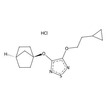 C(CC1CC1)Oc1nsnc1O[C@]12CC[C@@H](CC1)C2.Cl